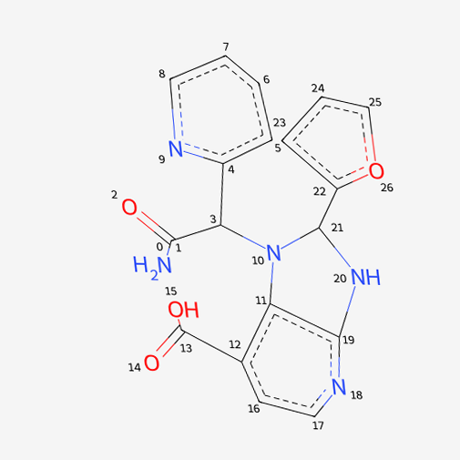 NC(=O)C(c1ccccn1)N1c2c(C(=O)O)ccnc2NC1c1ccco1